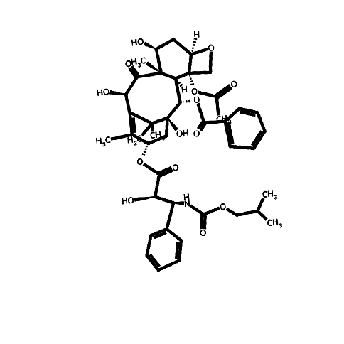 CC(=O)O[C@@]12CO[C@@H]1C[C@H](O)[C@@]1(C)C(=O)[C@H](O)C3=C(C)[C@@H](OC(=O)[C@H](O)[C@@H](NC(=O)OCC(C)C)c4ccccc4)C[C@@](O)([C@@H](OC(=O)c4ccccc4)[C@H]21)C3(C)C